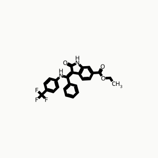 CCOC(=O)c1ccc2c(c1)NC(=O)/C2=C(\Nc1ccc(C(F)(F)F)cc1)c1ccccc1